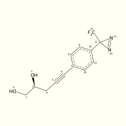 OC[C@@H](O)CC#Cc1ccc(C2(C(F)(F)F)N=N2)cc1